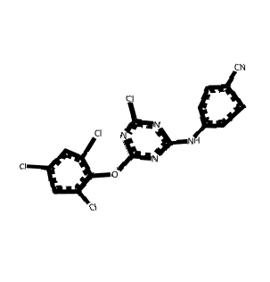 N#Cc1ccc(Nc2nc(Cl)nc(Oc3c(Cl)cc(Cl)cc3Cl)n2)cc1